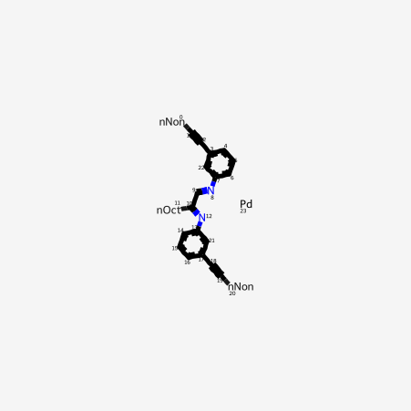 CCCCCCCCCC#Cc1cccc(N=CC(CCCCCCCC)=Nc2cccc(C#CCCCCCCCCC)c2)c1.[Pd]